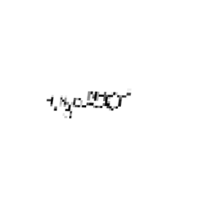 NC(=O)OCC(N)Cc1ccc(F)cc1